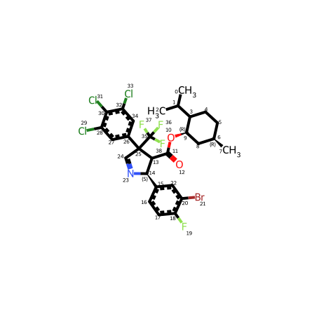 CC(C)C1CC[C@@H](C)C[C@H]1OC(=O)C1[C@@H](c2ccc(F)c(Br)c2)N=CC1(c1cc(Cl)c(Cl)c(Cl)c1)C(F)(F)F